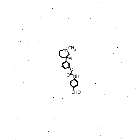 CCC1(c2cccc(OC(=O)Nc3ccc(C=O)cc3)c2)CCCCN(C)C1